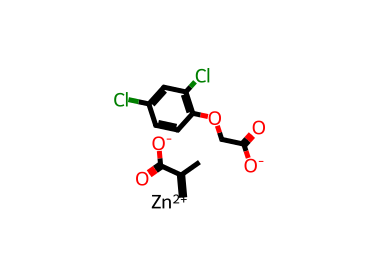 C=C(C)C(=O)[O-].O=C([O-])COc1ccc(Cl)cc1Cl.[Zn+2]